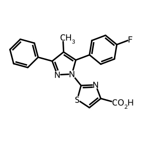 Cc1c(-c2ccccc2)nn(-c2nc(C(=O)O)cs2)c1-c1ccc(F)cc1